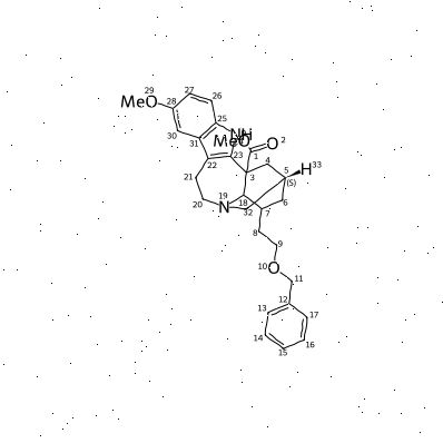 COC(=O)C12C[C@@H]3CC(CCOCc4ccccc4)C1N(CCc1c2[nH]c2ccc(OC)cc12)C3